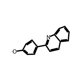 [O]c1ccc(-c2ccc3ccccc3n2)cc1